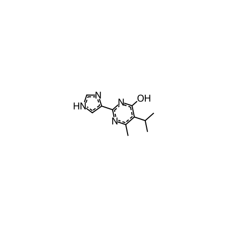 Cc1nc(-c2c[nH]cn2)nc(O)c1C(C)C